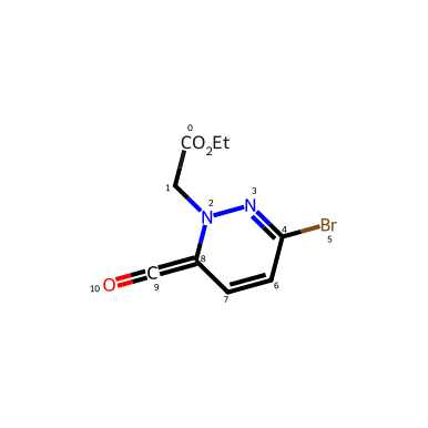 CCOC(=O)CN1N=C(Br)C=CC1=C=O